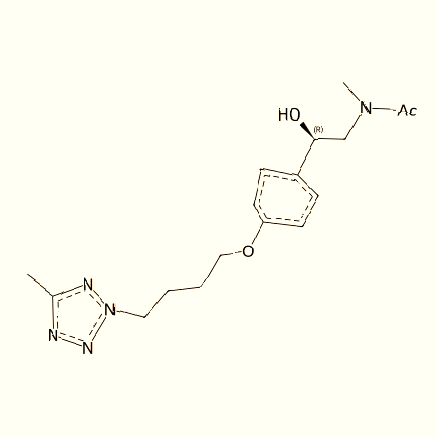 CC(=O)N(C)C[C@H](O)c1ccc(OCCCCn2nnc(C)n2)cc1